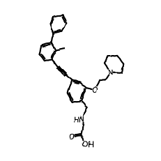 Cc1c(C#Cc2ccc(CNCC(=O)O)c(OCCN3CCCCC3)c2)cccc1-c1ccccc1